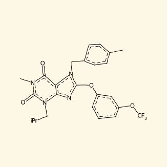 Cc1ccc(Cn2c(Oc3cccc(OC(F)(F)F)c3)nc3c2c(=O)n(C)c(=O)n3CC(C)C)cc1